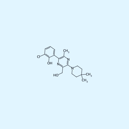 Cc1nc(N2CCC(C)(C)CC2)c(CO)nc1-c1cccc(Cl)c1O